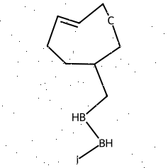 IBBCC1CC/C=C/CCC1